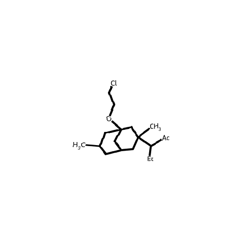 CCC(C(C)=O)C1(C)CC2CC(C)CC(OCCCl)(C2)C1